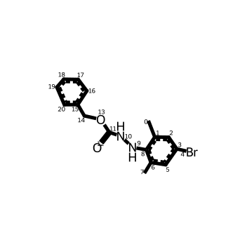 Cc1cc(Br)cc(C)c1NNC(=O)OCc1ccccc1